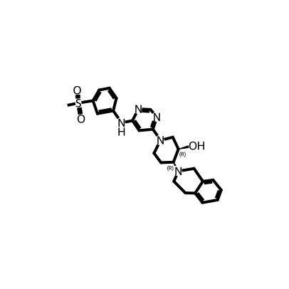 CS(=O)(=O)c1cccc(Nc2cc(N3CC[C@@H](N4CCc5ccccc5C4)[C@H](O)C3)ncn2)c1